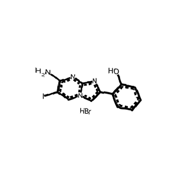 Br.Nc1nc2nc(-c3ccccc3O)cn2cc1I